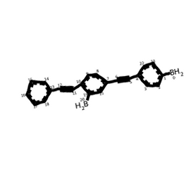 Bc1ccc(C#Cc2ccc(C#Cc3ccccc3)c(B)c2)cc1